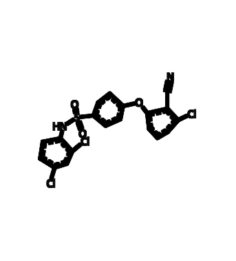 N#Cc1c(Cl)cccc1Oc1ccc(S(=O)(=O)Nc2ccc(Cl)cc2Cl)cc1